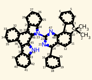 C[Si]1(C)c2ccccc2-c2c1ccc1c(-c3ccccc3)nc(-n3c4ccccc4c4c5ccccc5c5c6ccccc6[nH]c5c43)nc21